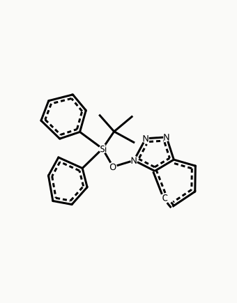 CC(C)(C)[Si](On1nnc2ccccc21)(c1ccccc1)c1ccccc1